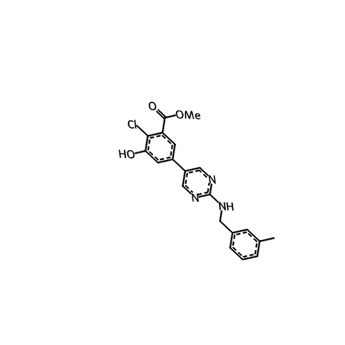 COC(=O)c1cc(-c2cnc(NCc3cccc(C)c3)nc2)cc(O)c1Cl